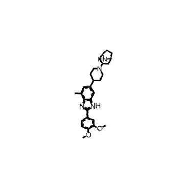 COc1ccc(-c2nc3c(C)cc(C4CCN(C5CC6CCC(C5)N6)CC4)cc3[nH]2)cc1OC